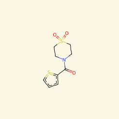 O=C(c1cccs1)N1CCS(=O)(=O)CC1